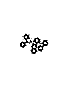 c1ccc(-c2nc(-n3c4cc5ccccc5cc4c4c(-n5c6ccccc6c6ccccc65)cccc43)nc3ccccc23)cc1